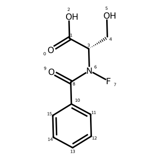 O=C(O)[C@H](CO)N(F)C(=O)c1ccccc1